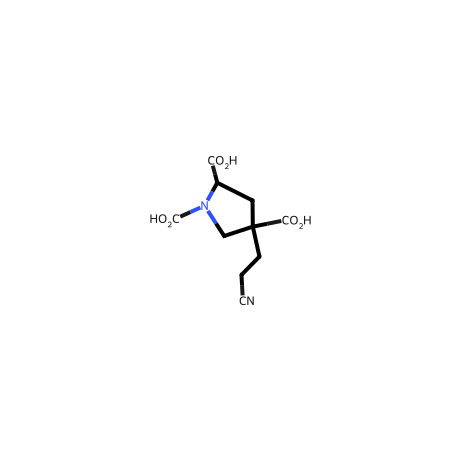 N#CCCC1(C(=O)O)CC(C(=O)O)N(C(=O)O)C1